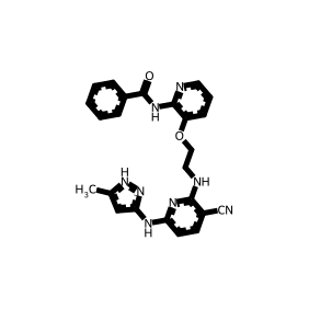 Cc1cc(Nc2ccc(C#N)c(NCCOc3cccnc3NC(=O)c3ccccc3)n2)n[nH]1